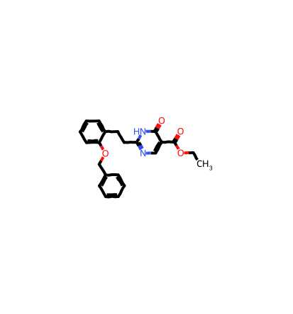 CCOC(=O)c1cnc(CCc2ccccc2OCc2ccccc2)[nH]c1=O